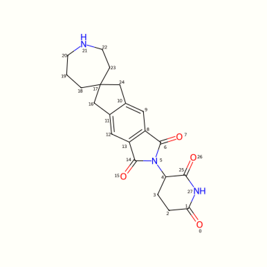 O=C1CCC(N2C(=O)c3cc4c(cc3C2=O)CC2(CCCNCC2)C4)C(=O)N1